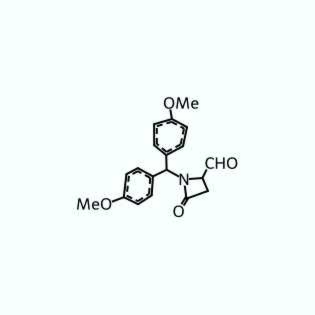 COc1ccc(C(c2ccc(OC)cc2)N2C(=O)CC2C=O)cc1